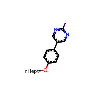 CCCCCCCOc1ccc(-c2cnc(I)nc2)cc1